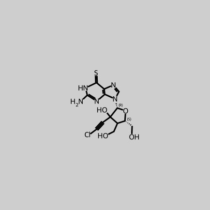 Nc1nc2c(ncn2[C@@H]2O[C@H](CO)C(CO)C2(O)C#CCl)c(=S)[nH]1